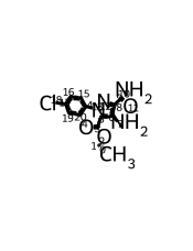 CCOC(=O)c1c(N)c(C(N)=O)nn1-c1ccc(Cl)cc1